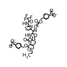 C=CSCC1=C(C(=O)OCc2ccc([N+](=O)[O-])cc2)N2C(=O)C(NC(=O)/C(=N/OCC(=O)OCc3ccc([N+](=O)[O-])cc3)c3csc(NC(=O)C(F)(F)F)n3)[C@H]2SC1